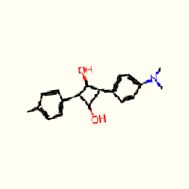 Cc1ccc(C2C(O)C(c3ccc(N(C)C)cc3)C2O)cc1